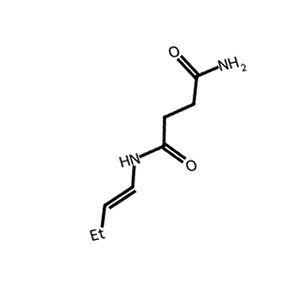 CCC=CNC(=O)CCC(N)=O